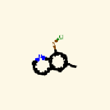 Cc1cc(SCl)c2ncccc2c1